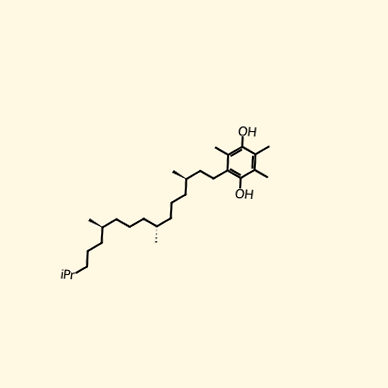 Cc1c(C)c(O)c(CC[C@H](C)CCC[C@H](C)CCC[C@H](C)CCCC(C)C)c(C)c1O